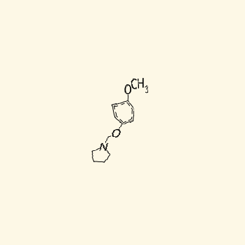 COc1ccc(OCN2CCCC2)cc1